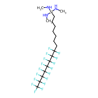 CN[Si](CCCCCCCC(F)(F)C(F)(F)C(F)(F)C(F)(F)C(F)(F)C(F)(F)C(F)(F)C(F)(F)F)(NC)NC